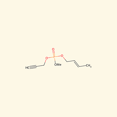 C#CCOP(=O)(OC)OC/C=C/C